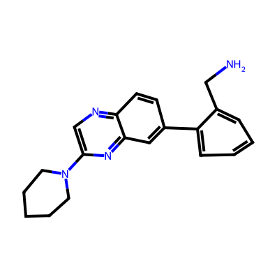 NCc1ccccc1-c1ccc2ncc(N3CCCCC3)nc2c1